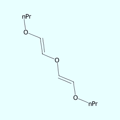 CCCOC=COC=COCCC